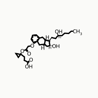 CCCCC[C@H](O)CC[C@@H]1[C@H]2Cc3cccc(OCC(=O)OC4(CCC(=O)O)CC4)c3C[C@H]2C[C@H]1O